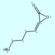 CCCCCCCC=C1OC1=O